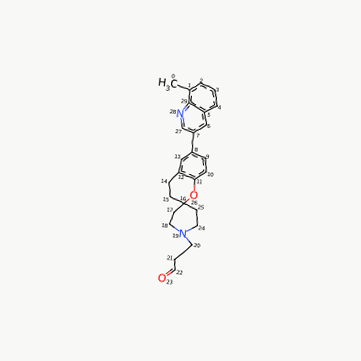 Cc1cccc2cc(-c3ccc4c(c3)CCC3(CCN(CCC=O)CC3)O4)cnc12